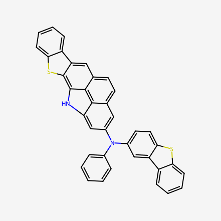 c1ccc(N(c2cc3ccc4cc5c6ccccc6sc5c5[nH]c(c2)c3c45)c2ccc3sc4ccccc4c3c2)cc1